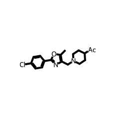 CC(=O)C1CCN(Cc2nc(-c3ccc(Cl)cc3)oc2C)CC1